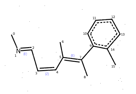 C/N=C/C=C\C(C)=C(/C)c1ccccc1C